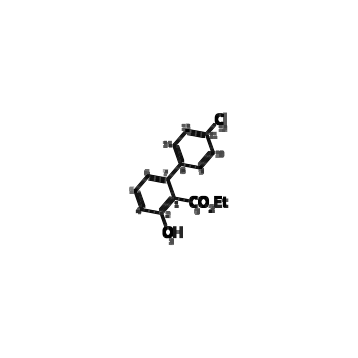 CCOC(=O)c1c(O)cccc1-c1ccc(Cl)cc1